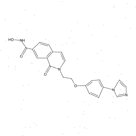 O=C(NO)c1ccc2ccn(CCOc3ccc(-n4ccnc4)cc3)c(=O)c2c1